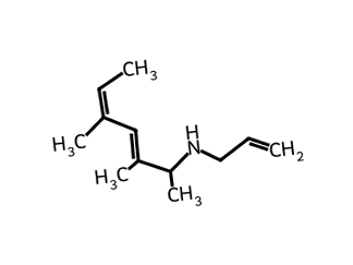 C=CCNC(C)/C(C)=C/C(C)=C\C